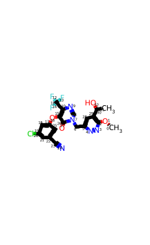 COc1nnc(Cn2cnc(C(F)(F)F)c(Oc3cc(Cl)cc(C#N)c3)c2=O)cc1C(C)O